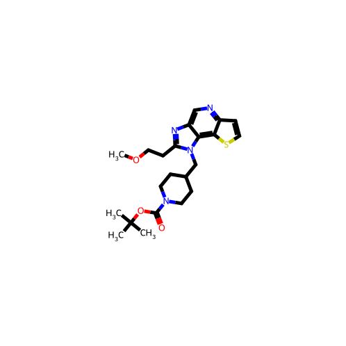 COCCc1nc2cnc3ccsc3c2n1CC1CCN(C(=O)OC(C)(C)C)CC1